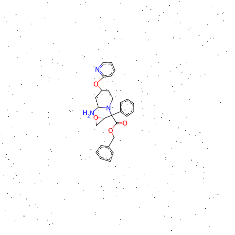 NC1CC(Oc2ccccn2)CCN1C(C(=O)OCc1ccccc1)(c1ccccc1)C1CO1